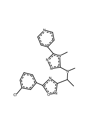 CC(c1noc(-c2cccc(Cl)c2)n1)N(C)c1nnc(-c2ccncc2)n1C